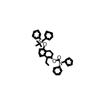 CCC1=C(OC(=O)N(c2ccccc2)c2ccccc2)CCc2c(O[Si](c3ccccc3)(c3ccccc3)C(C)(C)C)cccc21